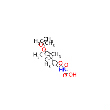 CCC(CC)(c1ccc(OCC(=O)C(C)(C)C)c(C)c1)c1ccc2cc(C(=O)NCC(=O)O)oc2c1